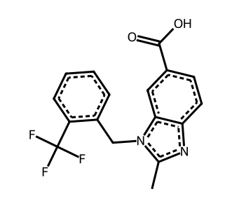 Cc1nc2ccc(C(=O)O)cc2n1Cc1ccccc1C(F)(F)F